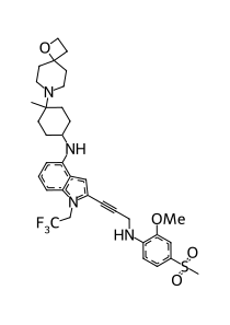 COc1cc(S(C)(=O)=O)ccc1NCC#Cc1cc2c(NC3CCC(C)(N4CCC5(CCO5)CC4)CC3)cccc2n1CC(F)(F)F